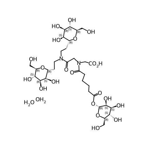 O.O.O=C(O)CN(CC(=O)N(CC[C@H]1O[C@H](CO)[C@@H](O)[C@H](O)[C@@H]1O)CC[C@H]1O[C@H](CO)[C@@H](O)[C@H](O)[C@@H]1O)C(=O)CCCCC(=O)O[C@H]1O[C@H](CO)[C@@H](O)[C@H](O)[C@@H]1O